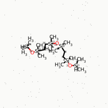 C[SiH](C)O[Si](C)(C)CC[Si](C)(C)O[Si](C)(C)CC[Si](C)(C)O[SiH](C)C